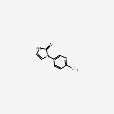 Cc1ccc(-n2cc[nH]c2=O)cn1